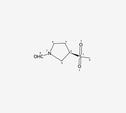 CS(=O)(=O)[C@@H]1CCN(C=O)C1